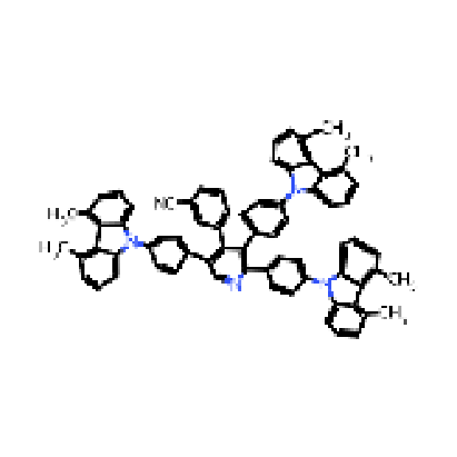 Cc1cccc2c1c1c(C)cccc1n2-c1ccc(-c2cnc(-c3ccc(-n4c5cccc(C)c5c5c(C)cccc54)cc3)c(-c3ccc(-n4c5cccc(C)c5c5c(C)cccc54)cc3)c2-c2cccc(C#N)c2)cc1